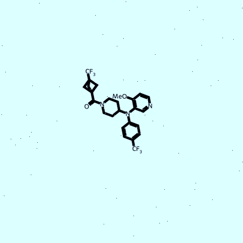 COc1ccncc1N(c1ccc(C(F)(F)F)cc1)C1CCN(C(=O)C23CC(C(F)(F)F)(C2)C3)CC1